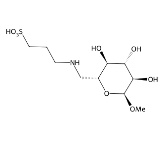 CO[C@H]1O[C@H](CNCCCS(=O)(=O)O)[C@@H](O)[C@H](O)[C@H]1O